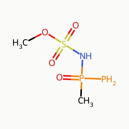 COS(=O)(=O)NP(C)(=O)P